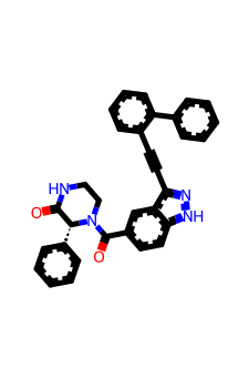 O=C1NCCN(C(=O)c2ccc3[nH]nc(C#Cc4ccccc4-c4ccccc4)c3c2)[C@@H]1c1ccccc1